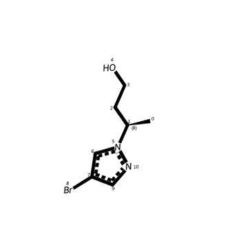 C[C@H](CCO)n1cc(Br)cn1